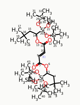 CC(C)(C)CC(OC(=O)/C=C/C(=O)OC(CC(C)(C)C)[Si](O[SiH3])(O[Si](C)(C)C)O[Si](C)(C)C)[Si](O[SiH3])(O[Si](C)(C)C)O[Si](C)(C)C